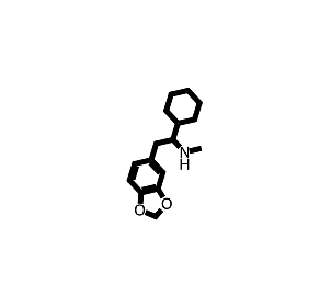 CNC(Cc1ccc2c(c1)OCO2)C1CCCCC1